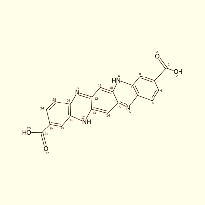 O=C(O)c1ccc2c(c1)Nc1cc3c(cc1=N2)Nc1cc(C(=O)O)ccc1N=3